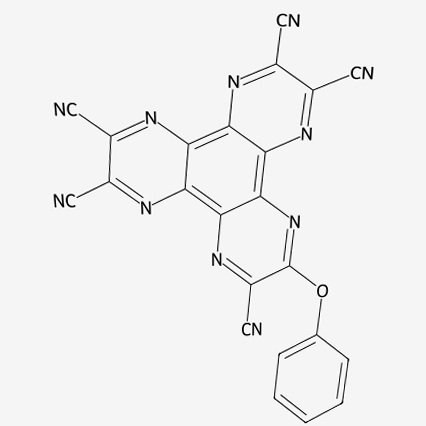 N#Cc1nc2c3nc(C#N)c(C#N)nc3c3nc(Oc4ccccc4)c(C#N)nc3c2nc1C#N